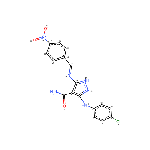 NC(=O)c1c(Nc2ccc(Cl)cc2)n[nH]c1/N=C/c1ccc([N+](=O)[O-])cc1